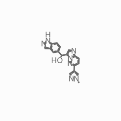 Cn1cc(-c2ccc3ncc(C(O)c4ccc5[nH]ncc5c4)n3n2)cn1